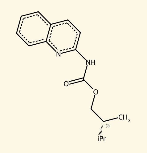 CC(C)[C@@H](C)COC(=O)Nc1ccc2ccccc2n1